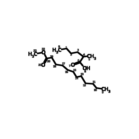 CCCCC(C)C(=O)O.CCCCCCCCCCCC(=O)OC